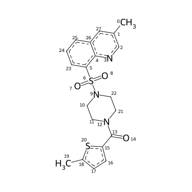 Cc1cnc2c(S(=O)(=O)N3CCN(C(=O)c4ccc(C)s4)CC3)cccc2c1